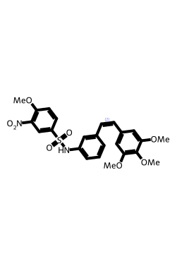 COc1ccc(S(=O)(=O)Nc2cccc(/C=C\c3cc(OC)c(OC)c(OC)c3)c2)cc1[N+](=O)[O-]